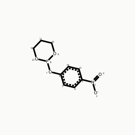 O=[N+]([O-])c1ccc(OP2OC[CH]CO2)cc1